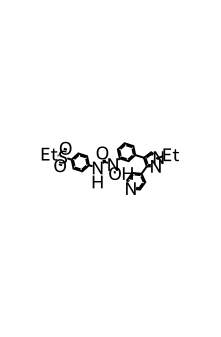 CCn1cc(-c2cccc(N(O)C(=O)Nc3ccc(S(=O)(=O)CC)cc3)c2)c(-c2ccncc2)n1